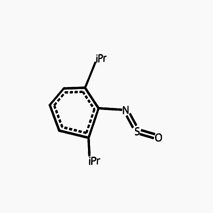 CC(C)c1cccc(C(C)C)c1N=S=O